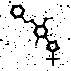 COc1cc(-c2noc(C(C)(C)C)n2)c(I)cc1OCc1ccccc1